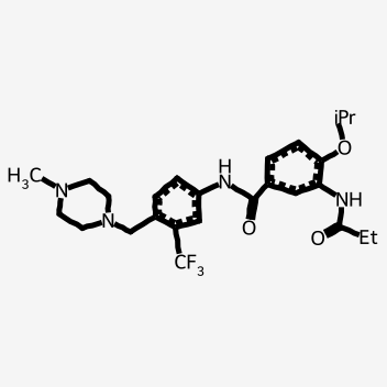 CCC(=O)Nc1cc(C(=O)Nc2ccc(CN3CCN(C)CC3)c(C(F)(F)F)c2)ccc1OC(C)C